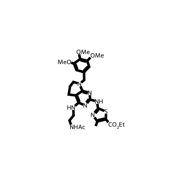 CCOC(=O)c1sc(Nc2nc(NCCNC(C)=O)c3c(n2)N(Cc2cc(OC)c(OC)c(OC)c2)CCC3)nc1C